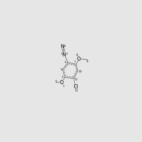 COc1cc([N+]#N)c(OC)cc1Cl